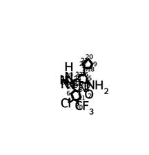 NC(=O)N(c1ccc(Cl)c(C(F)(F)F)c1)C1(F)C=CC(c2ccccc2)=CC1c1nnn[nH]1